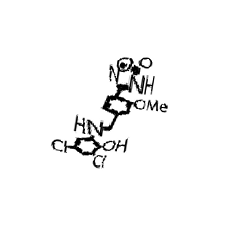 COc1cc(CNc2cc(Cl)cc(Cl)c2O)ccc1-c1noc(=O)[nH]1